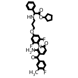 Cc1cc(C(=O)c2ccc(=O)n(-c3c(F)cc(OCCCNC(C(=O)OC4CCCC4)c4ccccc4)cc3F)c2N)ccc1F